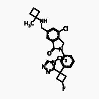 Cn1cnnc1C1(c2cccc(N3Cc4c(Cl)cc(CNC5(C)CCC5)cc4C3=O)c2)CC(F)C1